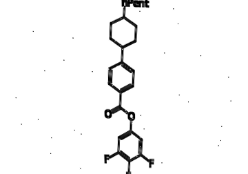 CCCCCC1CCC(c2ccc(C(=O)Oc3cc(F)c(F)c(F)c3)cc2)CC1